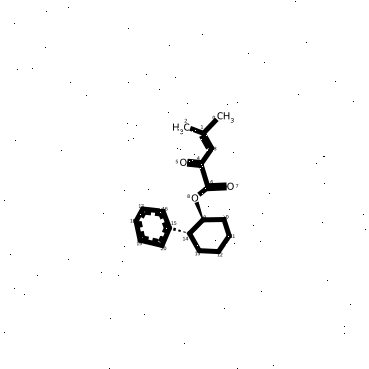 CC(C)=CC(=O)C(=O)O[C@H]1CCCC[C@@H]1c1ccccc1